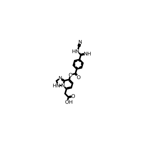 N#CNC(=N)c1ccc(C(=O)OC2=CC=C(CC(=O)O)N3NCN=C23)cc1